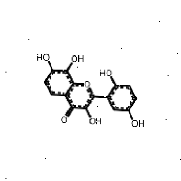 O=c1c(O)c(-c2cc(O)ccc2O)oc2c(O)c(O)ccc12